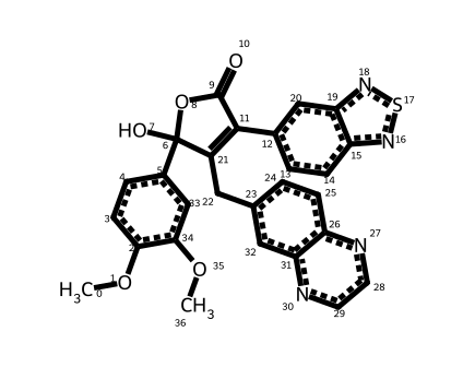 COc1ccc(C2(O)OC(=O)C(c3ccc4nsnc4c3)=C2Cc2ccc3nccnc3c2)cc1OC